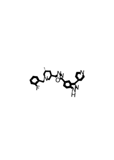 C[C@@H]1CC(c2nnc(-c3ccc4[nH]nc(-c5ccncc5)c4c3)o2)CN(Cc2ccccc2F)C1